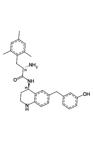 Cc1cc(C)c(C[C@H](N)C(=O)N[C@@H]2CCNc3ccc(Cc4cccc(O)c4)cc32)c(C)c1